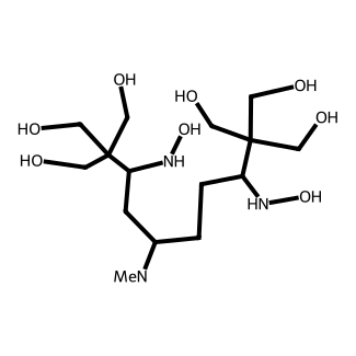 CNC(CCC(NO)C(CO)(CO)CO)CC(NO)C(CO)(CO)CO